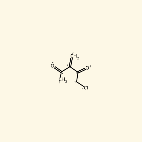 C=C(C(C)=O)C(=O)CCl